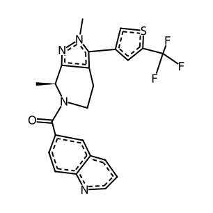 C[C@H]1c2nn(C)c(-c3csc(C(F)(F)F)c3)c2CCN1C(=O)c1ccc2ncccc2c1